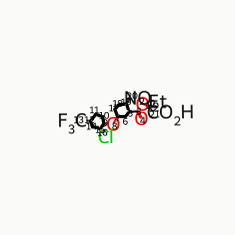 CCC(OC(=O)c1cc(Oc2ccc(C(F)(F)F)cc2Cl)ccc1[N+](=O)[O-])C(=O)O